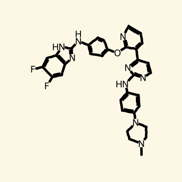 CN1CCN(c2ccc(Nc3nccc(-c4cccnc4Oc4ccc(Nc5nc6cc(F)c(F)cc6[nH]5)cc4)n3)cc2)CC1